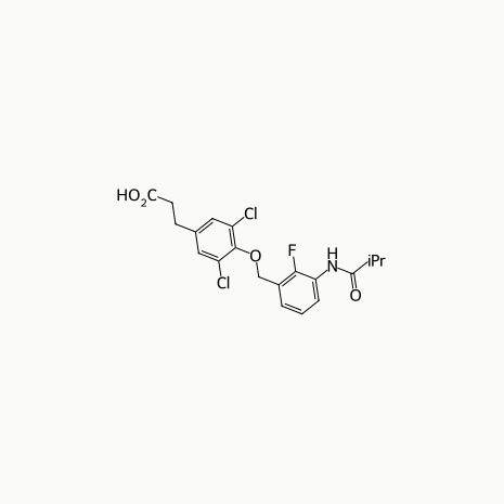 CC(C)C(=O)Nc1cccc(COc2c(Cl)cc(CCC(=O)O)cc2Cl)c1F